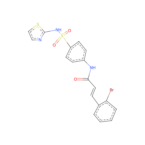 O=C(/C=C/c1ccccc1Br)Nc1ccc(S(=O)(=O)Nc2nccs2)cc1